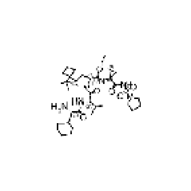 C=C(C)[C@H](NC(=O)[C@@H](N)C1CCCCC1)C(=O)N1C[C@]2(C[C@H]1C(=O)N[C@]1(C(=O)NS(=O)(=O)N3CCCC3)C[C@H]1CC)C(C)(C)C21CCC1